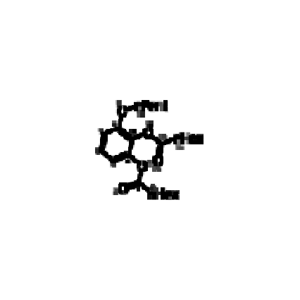 CCCCCCC(=O)Oc1cccc(OCCCCC)c1OC(=O)CCCCCC